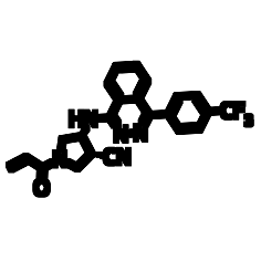 C=CC(=O)N1C[C@@H](C#N)[C@H](Nc2nnc(-c3ccc(C(F)(F)F)cc3)c3ccccc23)C1